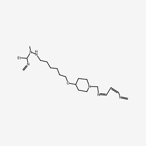 C=N/C=C\C=N/CN1CCC(OCCCCCCNN(C)C(CC)N=C)CC1